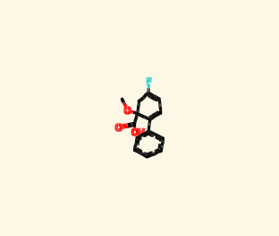 COC1(C(=O)O)CC(F)=CC=C1c1ccccc1